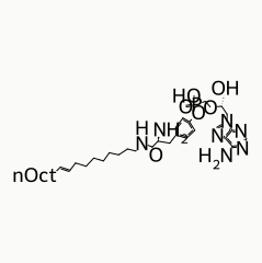 CCCCCCCC/C=C/CCCCCCCCNC(=O)[C@@H](N)Cc1ccc(OP(=O)(O)CO[C@H](CO)Cn2cnc3c(N)ncnc32)cc1